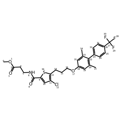 COC(=O)CCNC(=O)c1cc(Cl)c(CCCOc2cc(C)c(-c3ccc(C(F)(F)F)cc3)c(C)c2)s1